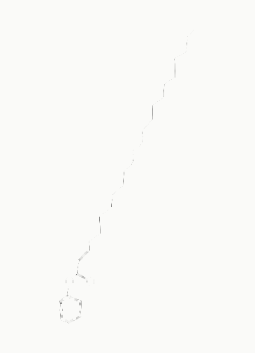 CCCCCCCCCCCCCCCCCCCCC=CC(=O)Oc1ccccc1